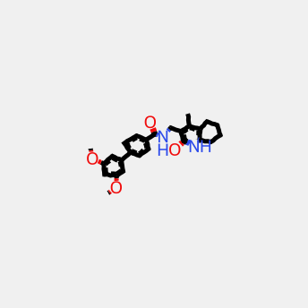 COc1cc(OC)cc(-c2ccc(C(=O)NCc3c(C)c4c([nH]c3=O)CCCC4)cc2)c1